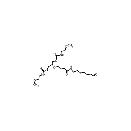 COCCNC(=O)OCC(COC(=O)NCCOC)OCCCC(=O)NCCOCCCC=O